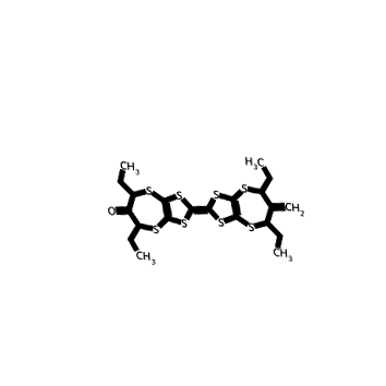 C=C1C(CC)SC2=C(SC(=C3SC4=C(S3)SC(CC)C(=O)C(CC)S4)S2)SC1CC